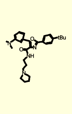 CN(C)c1cccc(-c2oc(-c3ccc(C(C)(C)C)cc3)nc2C(=O)NCCCN2CCCC2)c1